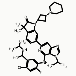 CC(C)NC(O)c1cc(Nc2nc(-c3ccc4c(c3)N([C@H]3C[C@@H](N5CCCCC5)C3)C(=O)C4(C)C)cc3ncn(C(C)C)c23)c(F)cc1Cl